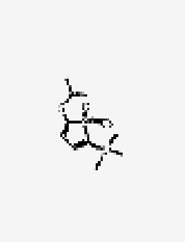 CC(C)SC1=CC=C([Si](C)(C)C)S1(=O)=O